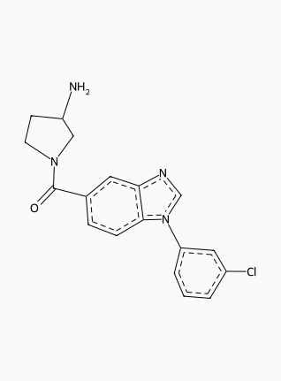 NC1CCN(C(=O)c2ccc3c(c2)ncn3-c2cccc(Cl)c2)C1